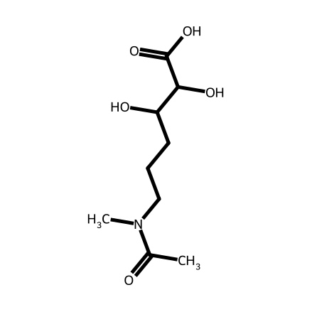 CC(=O)N(C)CCCC(O)C(O)C(=O)O